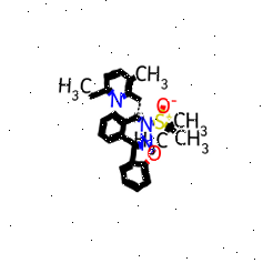 CCc1ccc(C)c(C[C@H](N[S+]([O-])C(C)(C)C)c2ccccc2-c2noc3ccccc23)n1